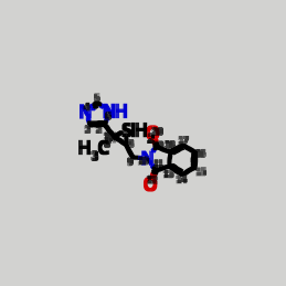 C[C@]1(c2cnc[nH]2)[SiH2]C1CN1C(=O)c2ccccc2C1=O